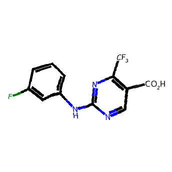 O=C(O)c1cnc(Nc2cccc(F)c2)nc1C(F)(F)F